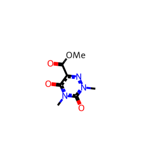 COC(=O)c1nn(C)c(=O)n(C)c1=O